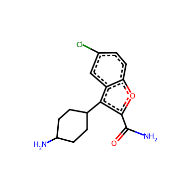 NC(=O)c1oc2ccc(Cl)cc2c1C1CCC(N)CC1